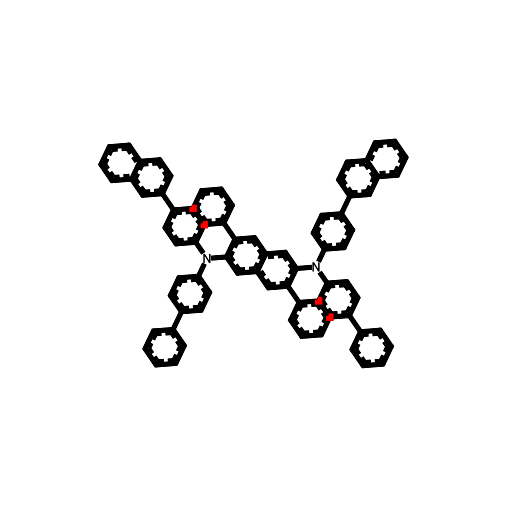 c1ccc(-c2ccc(N(c3ccc(-c4ccc5ccccc5c4)cc3)c3cc4cc(-c5ccccc5)c(N(c5ccc(-c6ccccc6)cc5)c5ccc(-c6ccc7ccccc7c6)cc5)cc4cc3-c3ccccc3)cc2)cc1